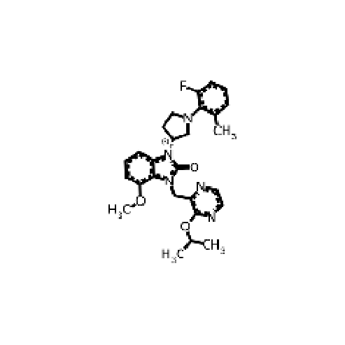 COc1cccc2c1n(Cc1nccnc1OC(C)C)c(=O)n2[C@@H]1CCN(c2c(C)cccc2F)C1